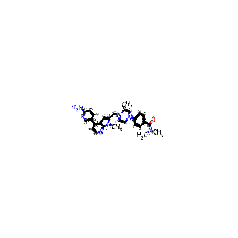 C[C@H]1CN(c2ccc(C(=O)N(C)C)cc2)CCN1Cc1cc2c(-c3ccc(N)nc3)ccnc2n1C